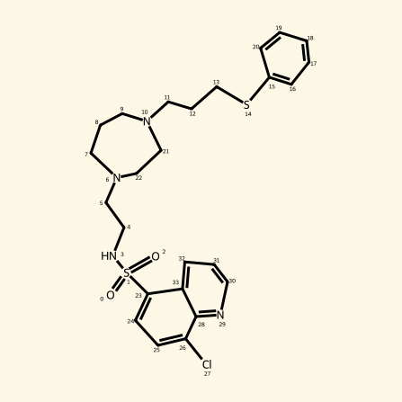 O=S(=O)(NCCN1CCCN(CCCSc2ccccc2)CC1)c1ccc(Cl)c2ncccc12